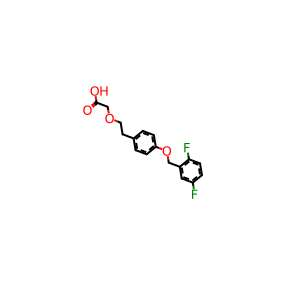 O=C(O)COCCc1ccc(OCc2cc(F)ccc2F)cc1